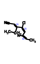 C\C=C(N)/C=C(Cl)\C(=C\C#N)OC